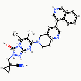 Cc1c(N2CCc3ncc(-c4cncc5ccccc45)cc3C2)nc2nn(CC3(C#N)CC3)c(=O)n2c1C